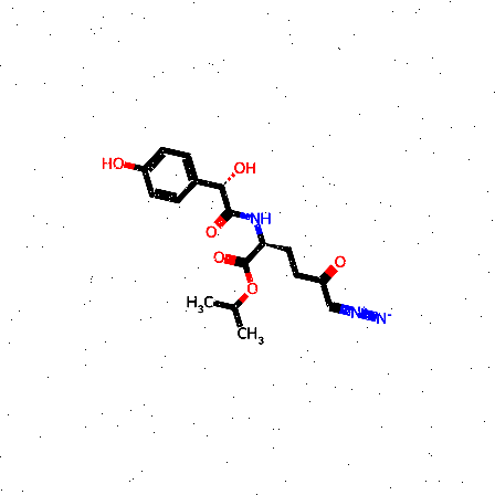 CC(C)OC(=O)[C@H](CCC(=O)C=[N+]=[N-])NC(=O)[C@@H](O)c1ccc(O)cc1